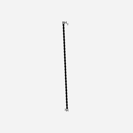 [2H]C#CC#CC#CC#CC#CC#CC#CC#CC#CC#CC#CC#CC#CC#CC#CC#CC#CC#CC#CC#CC#CC#CC#CC#CC#CC#CC#CC#CC#CB